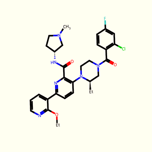 CCOc1ncccc1-c1ccc(N2CCN(C(=O)c3ccc(F)cc3Cl)C[C@H]2CC)c(C(=O)N[C@@H]2CCN(C)C2)n1